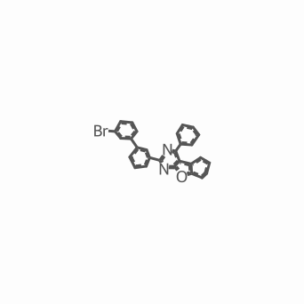 Brc1cccc(-c2cccc(-c3nc(-c4ccccc4)c4c(n3)oc3ccccc34)c2)c1